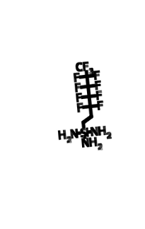 N[Si](N)(N)CCC(F)(F)C(F)(F)C(F)(F)C(F)(F)C(F)(F)F